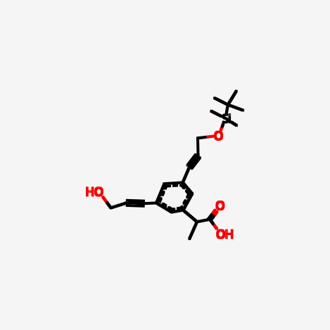 CC(C(=O)O)c1cc(C#CCO)cc(C#CCO[Si](C)(C)C(C)(C)C)c1